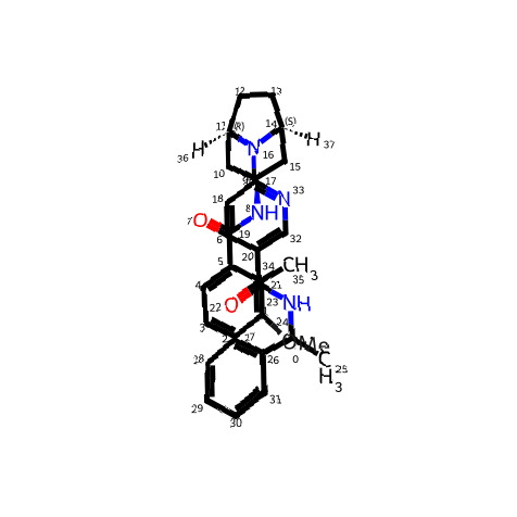 COc1cccc(C(=O)N[C@H]2C[C@H]3CC[C@@H](C2)N3c2ccc(C(=O)NC(C)c3ccccc3)cn2)c1C